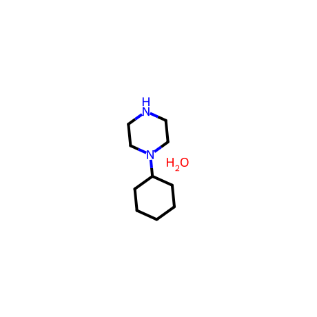 C1CCC(N2CCNCC2)CC1.O